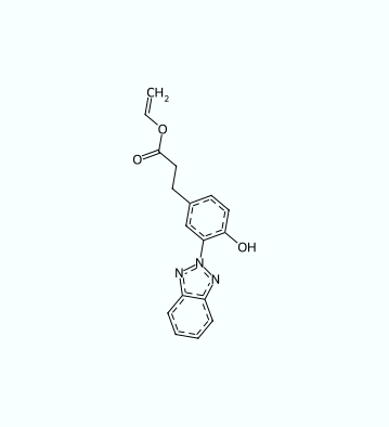 C=COC(=O)CCc1ccc(O)c(-n2nc3ccccc3n2)c1